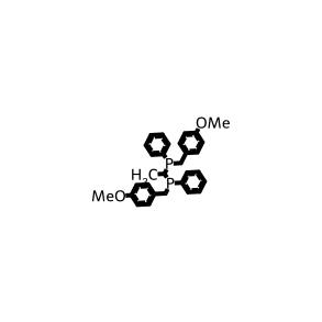 COc1ccc(CP(c2ccccc2)C(C)P(Cc2ccc(OC)cc2)c2ccccc2)cc1